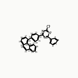 Clc1nc(-c2ccccc2)nc(-c2ccc(-c3cccc4ccc5ccccc5c34)cc2)n1